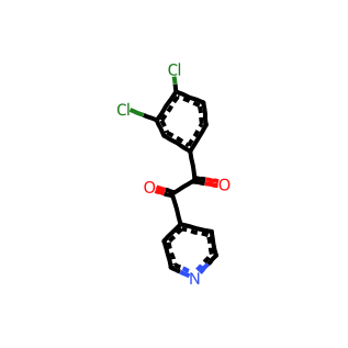 O=C(C(=O)c1ccc(Cl)c(Cl)c1)c1ccncc1